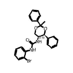 CC1(c2ccccc2)OC[C@H](NC(=O)Nc2ccccc2Br)[C@H](c2ccccc2)O1